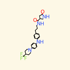 O=C1CC(C(=O)NCCCc2ccc(Nc3ccc(N4CCC(C(F)(F)F)CC4)cc3)cc2)CN1